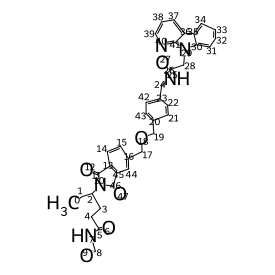 CCC(CCC(=O)NC=O)N1C(=O)c2ccc(COCc3ccc(CNC(=O)Cn4c5ccccc5c5cccnc54)cc3)cc2C1=O